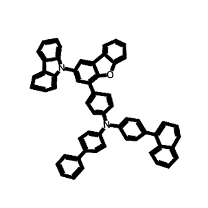 c1ccc(-c2ccc(N(c3ccc(-c4cccc5ccccc45)cc3)c3ccc(-c4cc(-n5c6ccccc6c6ccccc65)cc5c4oc4ccccc45)cc3)cc2)cc1